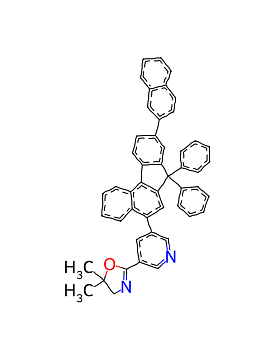 CC1(C)CN=C(c2cncc(-c3cc4c(c5ccccc35)-c3ccc(-c5ccc6ccccc6c5)cc3C4(c3ccccc3)c3ccccc3)c2)O1